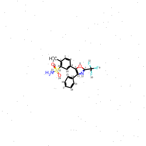 Cc1ccc(-c2oc(C(F)(F)F)nc2-c2ccccc2)cc1S(N)(=O)=O